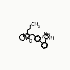 CCCCc1c(Cc2ccc(-c3ccccc3-c3nnn[nH]3)cc2)c(=O)n2n1CCCC2